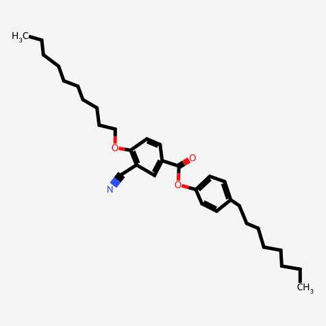 CCCCCCCCCCOc1ccc(C(=O)Oc2ccc(CCCCCCCC)cc2)cc1C#N